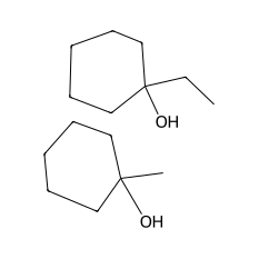 CC1(O)CCCCC1.CCC1(O)CCCCC1